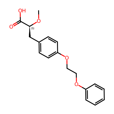 CO[C@@H](Cc1ccc(OCCOc2ccccc2)cc1)C(=O)O